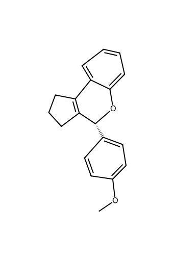 COc1ccc([C@H]2Oc3ccccc3C3=C2CCC3)cc1